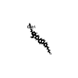 C=CC(=O)NCCCc1ccc(C2CCC(C3CCC4CC(C5CCC(CCCCC)CC5)CCC4C3)CC2)c(CC)c1